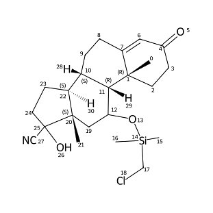 C[C@]12CCC(=O)C=C1CC[C@@H]1[C@H]2C(O[Si](C)(C)CCl)C[C@@]2(C)[C@H]1CCC2(O)C#N